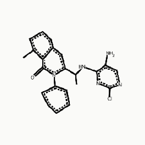 Cc1cccc2cc(C(C)Nc3nc(Cl)ncc3N)n(-c3ccccc3)c(=O)c12